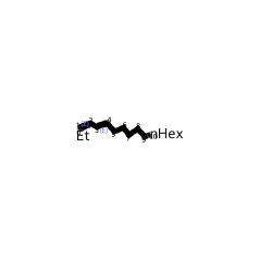 CC/[C]=C\C=C\CCCCCCCCCCC